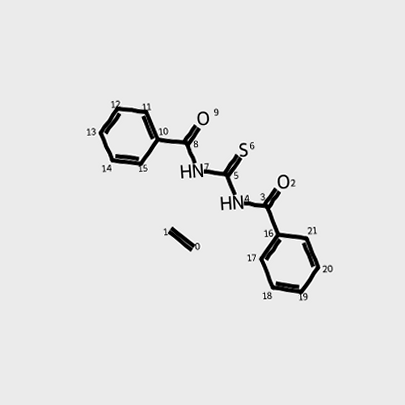 C=C.O=C(NC(=S)NC(=O)c1ccccc1)c1ccccc1